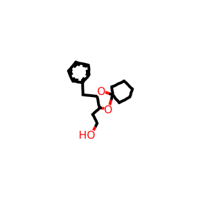 OCCC1OC2(CCCCC2)OC1Cc1ccccc1